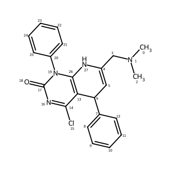 CN(C)CC1=CC(c2ccccc2)c2c(Cl)nc(=O)n(-c3ccccc3)c2N1